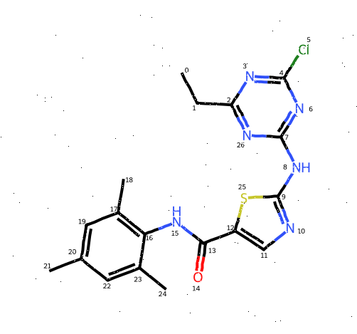 CCc1nc(Cl)nc(Nc2ncc(C(=O)Nc3c(C)cc(C)cc3C)s2)n1